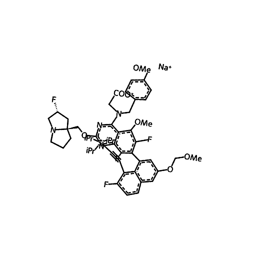 COCOc1cc(-c2c(F)c(OC)c3c(N(CC(=O)[O-])Cc4ccc(OC)cc4)nc(OC[C@@]45CCCN4C[C@H](F)C5)nc3c2F)c2c(C#C[Si](C(C)C)(C(C)C)C(C)C)c(F)ccc2c1.[Na+]